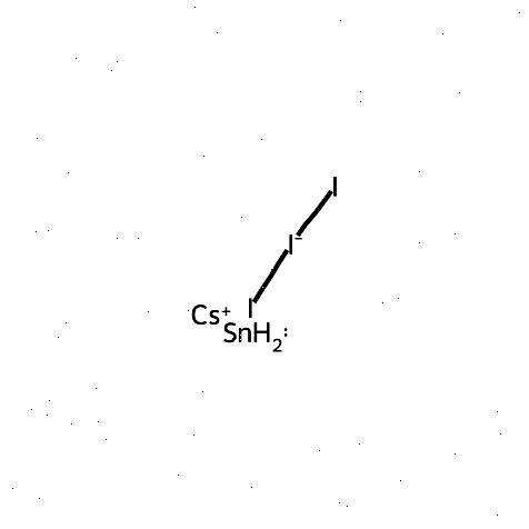 I[I-]I.[Cs+].[SnH2]